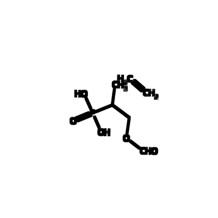 C=C.CC(COC=O)P(=O)(O)O